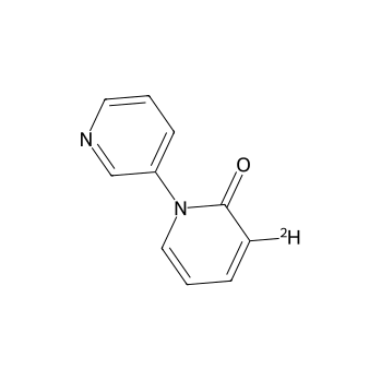 [2H]c1cccn(-c2cccnc2)c1=O